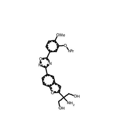 CCCOc1cc(-c2nc(-c3ccc4oc(C(N)(CO)CO)cc4c3)no2)ccc1OC